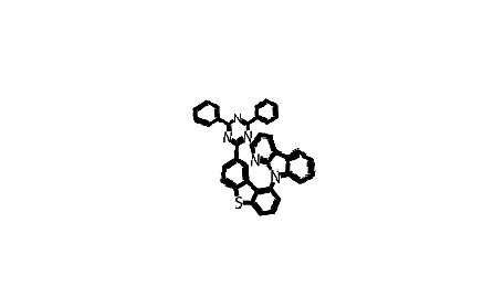 c1ccc(-c2nc(-c3ccccc3)nc(-c3ccc4sc5cccc(-n6c7ccccc7c7cccnc76)c5c4c3)n2)cc1